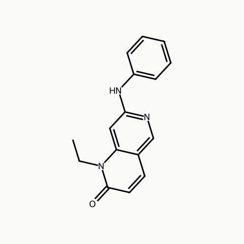 CCn1c(=O)ccc2cnc(Nc3ccccc3)cc21